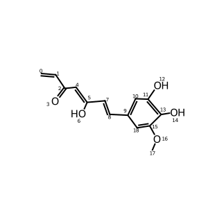 C=CC(=O)C=C(O)C=Cc1cc(O)c(O)c(OC)c1